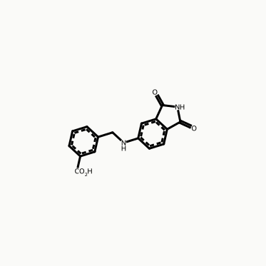 O=C(O)c1cccc(CNc2ccc3c(c2)C(=O)NC3=O)c1